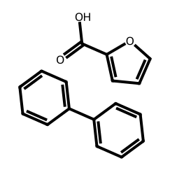 O=C(O)c1ccco1.c1ccc(-c2ccccc2)cc1